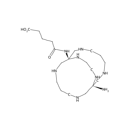 N[C@]12CNCCCNC[C@](NC(=O)CCCC(=O)O)(CNCCCNC1)NCCN2